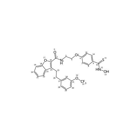 O=C(NCCOc1ccc(C(=S)NO)cc1)c1oc2ccccc2c1CCc1cccc(OC(F)(F)F)c1